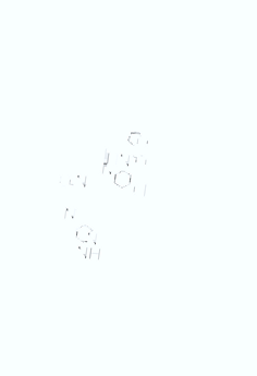 Nc1cc(CN2CCC(C(=O)N3CCC(Nc4ccc(Cl)cc4NC(=O)c4ccco4)CC3)CC2)ccn1